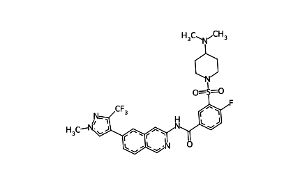 CN(C)C1CCN(S(=O)(=O)c2cc(C(=O)Nc3cc4cc(-c5cn(C)nc5C(F)(F)F)ccc4cn3)ccc2F)CC1